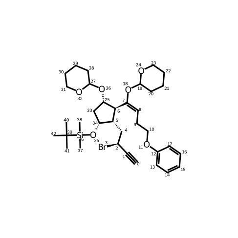 C#C[C@@H](Br)C[C@H]1[C@H](/C(=C\CCOc2ccccc2)OC2CCCCO2)[C@@H](OC2CCCCO2)C[C@H]1O[Si](C)(C)C(C)(C)C